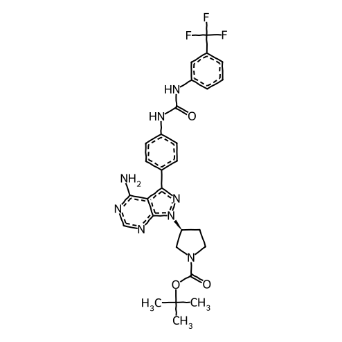 CC(C)(C)OC(=O)N1CC[C@H](n2nc(-c3ccc(NC(=O)Nc4cccc(C(F)(F)F)c4)cc3)c3c(N)ncnc32)C1